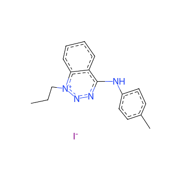 CCC[n+]1nnc(Nc2ccc(C)cc2)c2ccccc21.[I-]